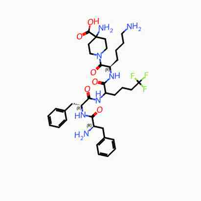 NCCCC[C@@H](NC(=O)C(CCCC(F)(F)F)NC(=O)[C@@H](Cc1ccccc1)NC(=O)[C@H](N)Cc1ccccc1)C(=O)N1CCC(N)(C(=O)O)CC1